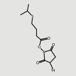 [2H]C1CC(=O)N(OC(=O)CCCSC(C)C)C1=O